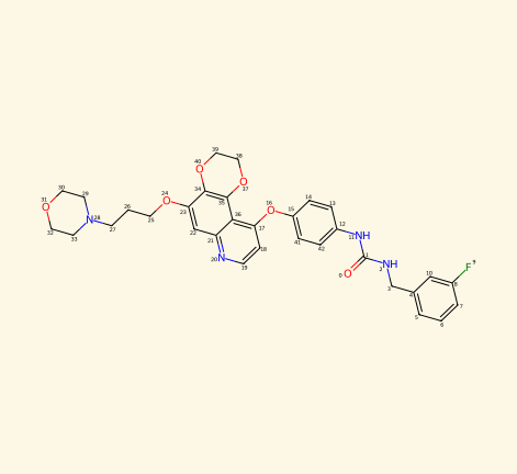 O=C(NCc1cccc(F)c1)Nc1ccc(Oc2ccnc3cc(OCCCN4CCOCC4)c4c(c23)OCCO4)cc1